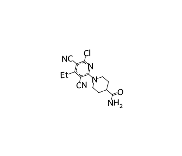 CCc1c(C#N)c(Cl)nc(N2CCC(C(N)=O)CC2)c1C#N